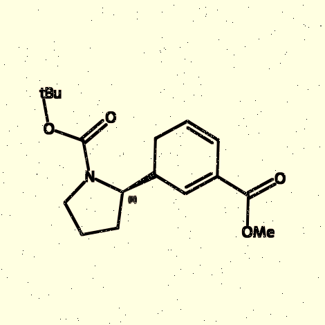 COC(=O)C1=CC([C@H]2CCCN2C(=O)OC(C)(C)C)CC=C1